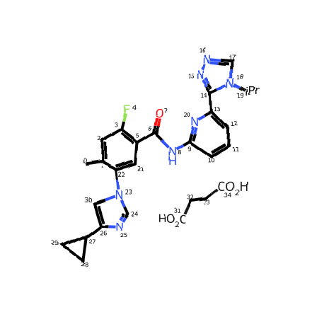 Cc1cc(F)c(C(=O)Nc2cccc(-c3nncn3C(C)C)n2)cc1-n1cnc(C2CC2)c1.O=C(O)CCC(=O)O